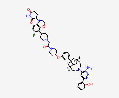 Nc1nnc(-c2ccccc2O)cc1N1CC[C@@H]2CC3[C@@H](CC1)CC3(c1cccc(OC3CCN(C(=O)CN4CCC(c5c(F)ccc6c5OCCN6C5CCC(=O)NC5=O)CC4)CC3)c1)C2